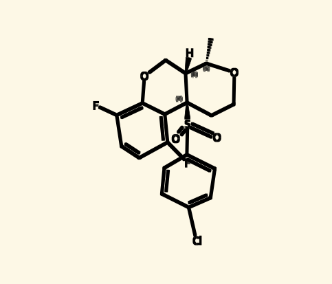 C[C@@H]1OCC[C@]2(S(=O)(=O)c3ccc(Cl)cc3)c3c(F)ccc(F)c3OC[C@H]12